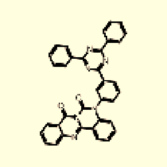 O=c1c2ccccc2nc2c3ccccc3n(-c3cccc(-c4nc(-c5ccccc5)nc(-c5ccccc5)n4)c3)c(=O)n12